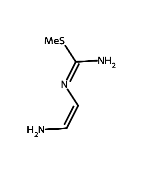 CS/C(N)=N/C=C\N